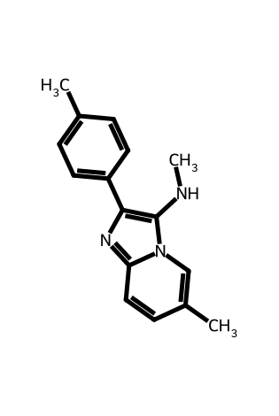 CNc1c(-c2ccc(C)cc2)nc2ccc(C)cn12